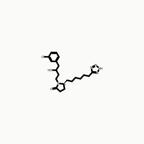 O=C1CC[C@H](CCCCCCc2nn[nH]n2)N1CCC(O)Cc1cccc(Cl)c1